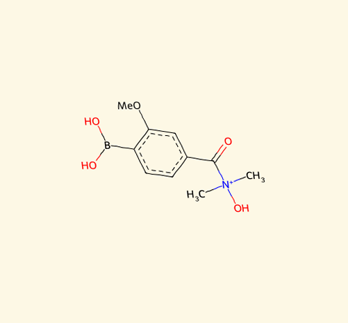 COc1cc(C(=O)[N+](C)(C)O)ccc1B(O)O